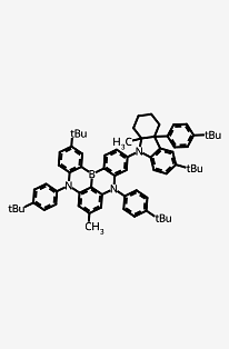 Cc1cc2c3c(c1)N(c1ccc(C(C)(C)C)cc1)c1cc(N4c5ccc(C(C)(C)C)cc5C5(c6ccc(C(C)(C)C)cc6)CCCCC45C)ccc1B3c1cc(C(C)(C)C)ccc1N2c1ccc(C(C)(C)C)cc1